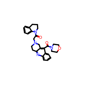 O=C(c1c2c(nc3ccccc13)CCN(CC(=O)N1CCCc3ccccc31)C2)N1CCOCC1